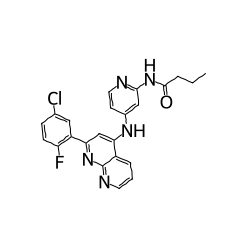 CCCC(=O)Nc1cc(Nc2cc(-c3cc(Cl)ccc3F)nc3ncccc23)ccn1